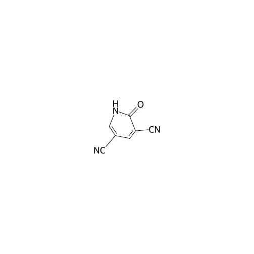 N#Cc1c[nH]c(=O)c(C#N)c1